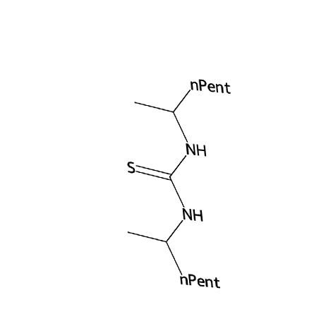 CCCCCC(C)NC(=S)NC(C)CCCCC